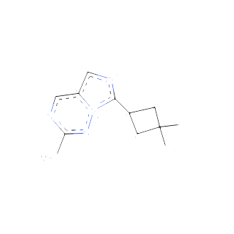 CSc1ncc2cnc(C3CC(C)(C)C3)n2n1